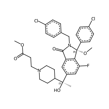 COC(=O)CCN1CCC([C@](C)(O)c2cc(F)c3c(c2)C(=O)N(Cc2ccc(Cl)cc2)[C@@]3(OC)c2ccc(Cl)cc2)CC1